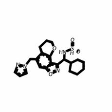 O=[SH](=O)NC(c1noc2cc(Cn3cccn3)c3c(c12)OCCC3)C1CCCCC1